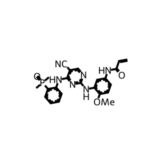 C=CC(=O)Nc1ccc(OC)c(Nc2ncc(C#N)c(Nc3ccccc3P(C)(C)=O)n2)c1